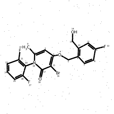 Cc1cc(OCc2ccc(F)cc2CO)c(Br)c(=O)n1-c1c(F)cccc1F